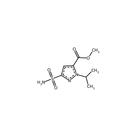 COC(=O)c1cc(S(N)(=O)=O)nn1C(C)C